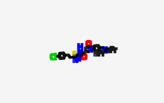 CCCN(CCC)Cc1ccc(N2CC(C(=O)Nc3nnc(CCc4ccc(Cl)cc4)s3)CC2=O)cc1